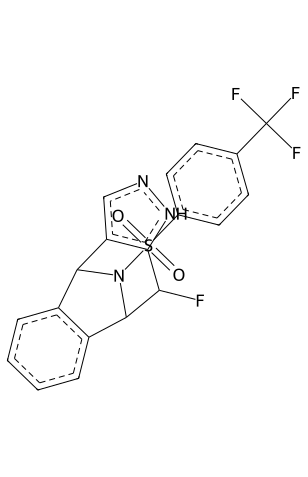 O=S(=O)(c1ccc(C(F)(F)F)cc1)N1C2c3ccccc3C1C(F)c1[nH]ncc12